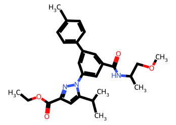 CCOC(=O)c1cc(C(C)C)n(-c2cc(C(=O)NC(C)COC)cc(-c3ccc(C)cc3)c2)n1